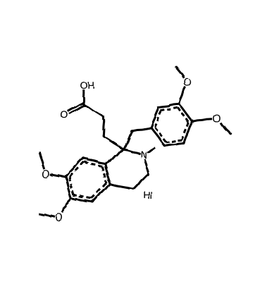 COc1ccc(CC2(CCC(=O)O)c3cc(OC)c(OC)cc3CCN2C)cc1OC.I